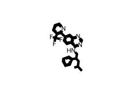 CC(C)CC(CNc1ncnc2cc(-c3ncccc3C(F)(F)F)ccc12)c1ccccc1